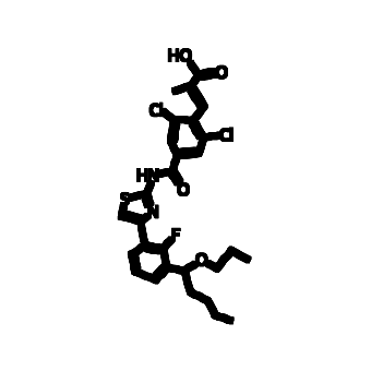 CCCCC(OCCC)c1cccc(-c2csc(NC(=O)c3cc(Cl)c(C=C(C)C(=O)O)c(Cl)c3)n2)c1F